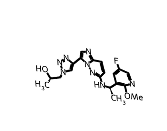 COc1ncc(F)cc1[C@@H](C)Nc1ccc2ncc(-c3cn(C[C@@H](C)O)nn3)n2n1